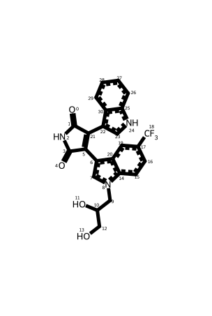 O=C1NC(=O)C(c2cn(CC(O)CO)c3ccc(C(F)(F)F)cc23)=C1c1c[nH]c2ccccc12